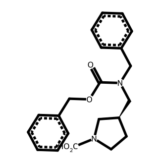 O=C(O)N1CC[C@H](CN(Cc2ccccc2)C(=O)OCc2ccccc2)C1